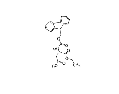 CCOC(=O)[C@H](CC(=O)O)NC(=O)OCC1c2ccccc2-c2ccccc21